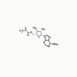 CNc1ncnc2c1ncn2[C@@H]1O[C@H](COPPP)C(O)[C@@H]1O